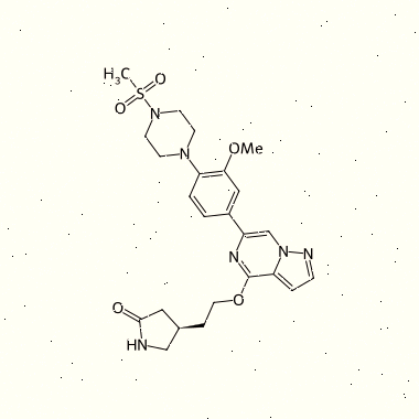 COc1cc(-c2cn3nccc3c(OCC[C@H]3CNC(=O)C3)n2)ccc1N1CCN(S(C)(=O)=O)CC1